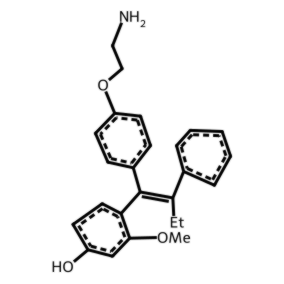 CC/C(=C(/c1ccc(OCCN)cc1)c1ccc(O)cc1OC)c1ccccc1